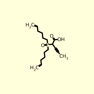 C=CCCCCP(=O)(CCCCC=C)C(C#CC)C(=O)O